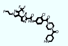 Cn1c(-c2cn(CCF)nc2C(F)(F)F)cnc1C(=O)Nc1ccc(C(=O)N2CCN(C(=O)C3CCNCC3)CC2)c(Cl)c1